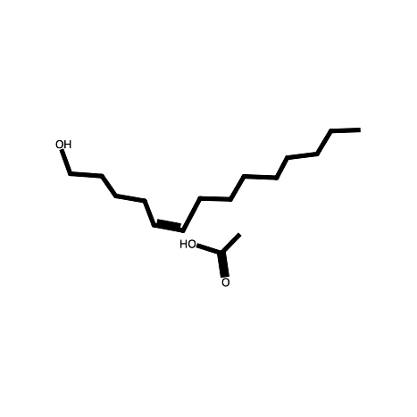 CC(=O)O.CCCCCCCC/C=C\CCCCO